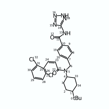 CC(C)(C)C1CCC(N(Cc2ccc(C(=O)Nc3nn[nH]n3)cc2)C(=O)C=Cc2c(Cl)cccc2Cl)CC1